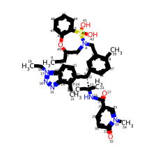 CCC1CN(Cc2cc([C@@H](c3ccc4c(nnn4CC)c3C)C(C)(C)NC(=O)c3ccc(=O)n(C)c3)ccc2C)S(O)(O)c2ccccc2O1